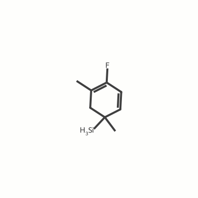 CC1=C(F)C=CC(C)([SiH3])C1